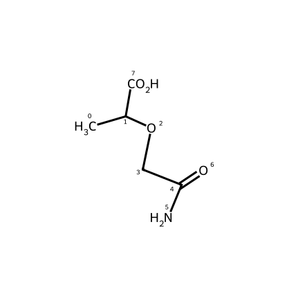 CC(OCC(N)=O)C(=O)O